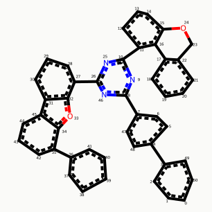 c1ccc(-c2ccc(-c3nc(-c4cccc5c4-c4ccccc4CO5)nc(-c4cccc5c4oc4c(-c6ccccc6)cccc45)n3)cc2)cc1